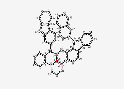 c1ccc(-c2ccccc2N(c2ccc3c(c2)sc2ccccc23)c2ccc3ccc4c5ccccc5n(-c5ccc6ccccc6c5)c4c3c2)cc1